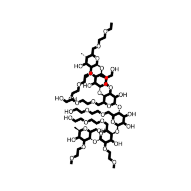 CCCOC1C(O)[C@H](O[C@H]2C(COCCOCCO)O[C@H](O[C@@H]3C(COCCOCCO)O[C@@H](O[C@H]4C(CO)O[C@H](C)C(O)C4OCCOC)C(OCCOC)C3O)C(O)C2O)OC(COCCOCCO)[C@H]1O[C@H]1OC(CO)[C@H](O[C@@H]2OC(COCCOCC)[C@@H](C)C(O)C2OCCOCCO)C(OC)C1O